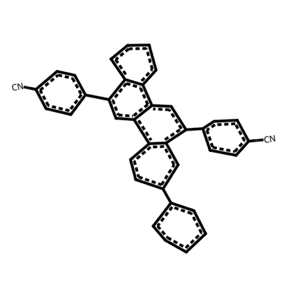 [C-]#[N+]c1ccc(-c2cc3c4ccc(-c5ccccc5)cc4c(-c4ccc(C#N)cc4)cc3c3ccccc23)cc1